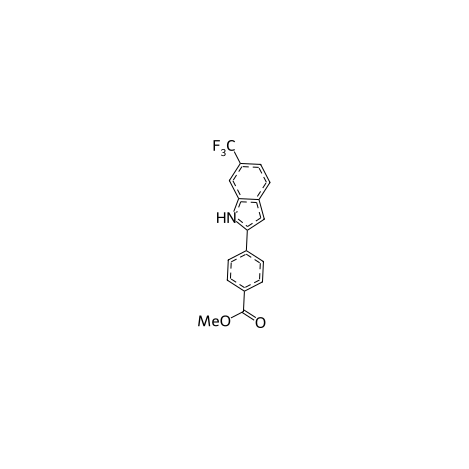 COC(=O)c1ccc(-c2cc3ccc(C(F)(F)F)cc3[nH]2)cc1